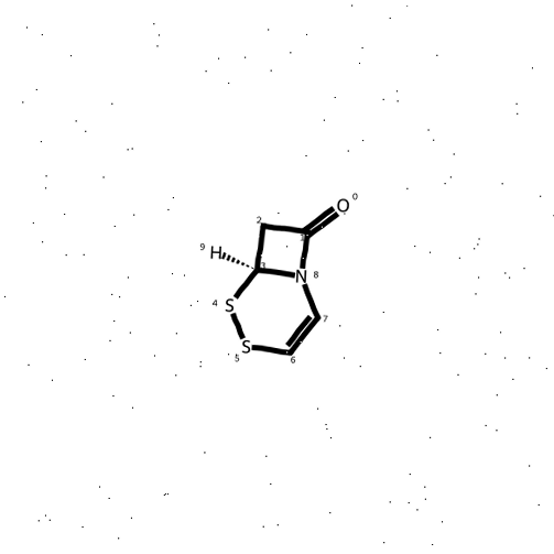 O=C1C[C@@H]2SSC=CN12